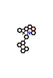 CC1(C)c2ccccc2-c2ccc(-c3ccccc3)c(N(c3ccc(-c4cccc(-c5cccc6cccc(-c7ccccc7)c56)c4)cc3)c3ccccc3-c3ccccc3)c21